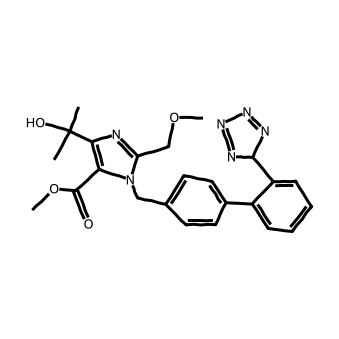 COCc1nc(C(C)(C)O)c(C(=O)OC)n1Cc1ccc(-c2ccccc2C2N=NN=N2)cc1